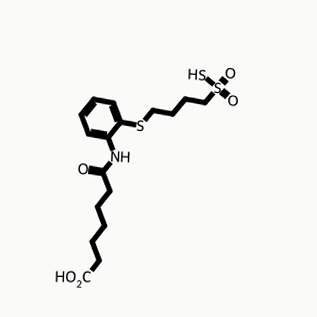 O=C(O)CCCCCC(=O)Nc1ccccc1SCCCCS(=O)(=O)S